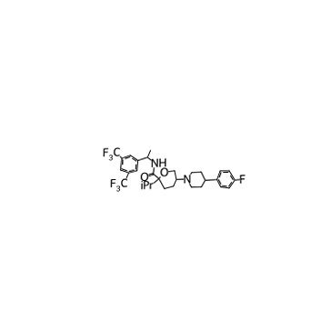 CC(NC(=O)C1(C(C)C)CCC(N2CCC(c3ccc(F)cc3)CC2)CO1)c1cc(C(F)(F)F)cc(C(F)(F)F)c1